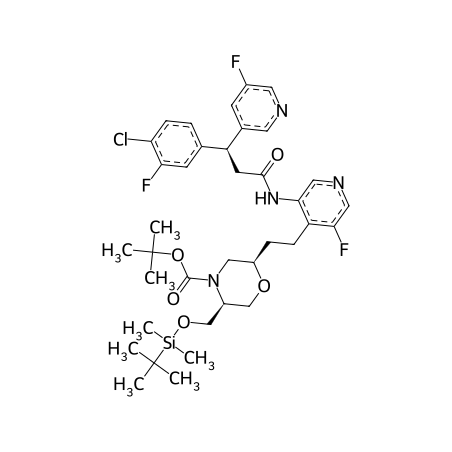 CC(C)(C)OC(=O)N1C[C@@H](CCc2c(F)cncc2NC(=O)C[C@H](c2cncc(F)c2)c2ccc(Cl)c(F)c2)OC[C@H]1CO[Si](C)(C)C(C)(C)C